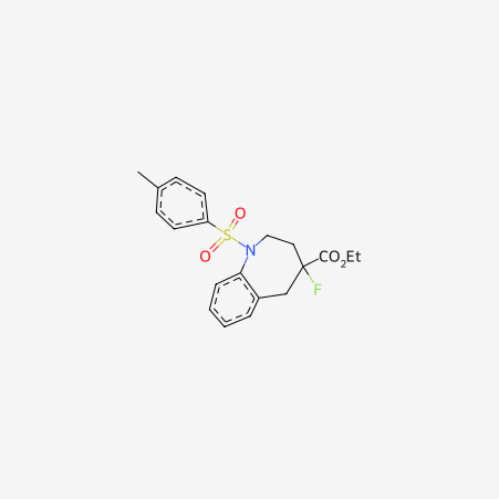 CCOC(=O)C1(F)CCN(S(=O)(=O)c2ccc(C)cc2)c2ccccc2C1